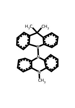 CN1c2ccccc2N(B2c3ccccc3C(C)(C)c3ccccc32)c2ccccc21